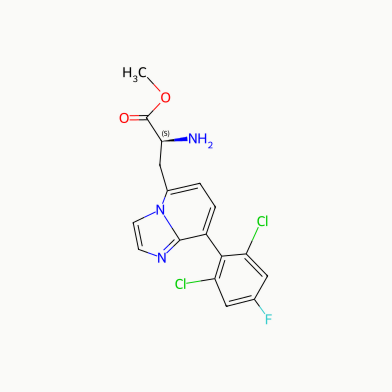 COC(=O)[C@@H](N)Cc1ccc(-c2c(Cl)cc(F)cc2Cl)c2nccn12